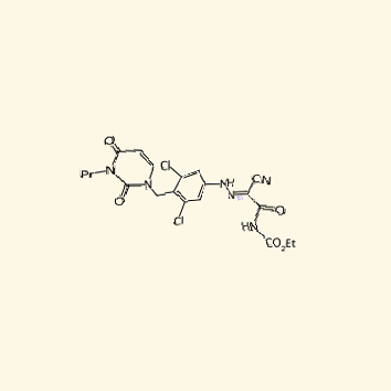 CCOC(=O)NC(=O)/C(C#N)=N/Nc1cc(Cl)c(Cn2ccc(=O)n(C(C)C)c2=O)c(Cl)c1